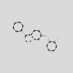 Brc1ccccc1Nc1ccc2c(-c3ccccc3)nnn2c1